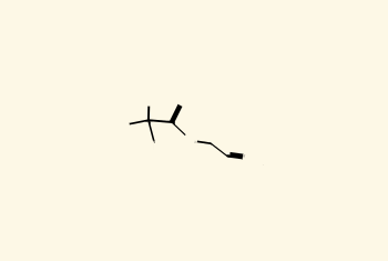 C=CCOC(=O)C(F)(F)F